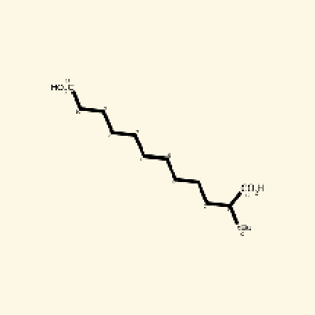 CC(C)(C)C(CCCCCCCCCC(=O)O)C(=O)O